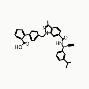 C#C[C@H](NC(=O)c1ccc2c(C)nn(Cc3ccc(-c4ccccc4C(=O)O)cc3)c2c1)c1cccc(C(C)C)c1